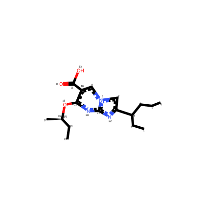 CCCC(CC)c1cn2cc(C(=O)O)c(O[C@H](C)CC)nc2n1